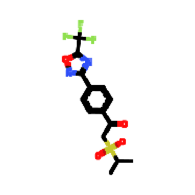 CC(C)S(=O)(=O)CC(=O)c1ccc(-c2noc(C(F)(F)F)n2)cc1